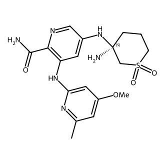 COc1cc(C)nc(Nc2cc(N[C@@]3(N)CCCS(=O)(=O)C3)cnc2C(N)=O)c1